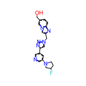 OCc1ccc2nc(Cn3cc(-c4cncc(N5CCC(F)C5)c4)nn3)cn2c1